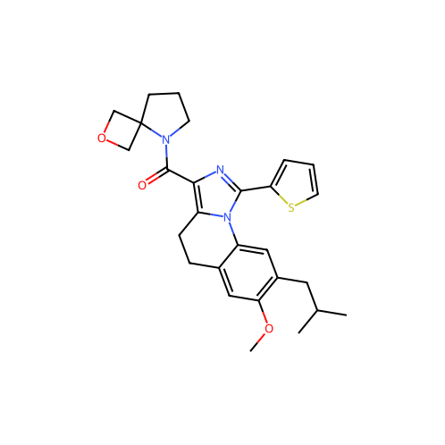 COc1cc2c(cc1CC(C)C)-n1c(-c3cccs3)nc(C(=O)N3CCCC34COC4)c1CC2